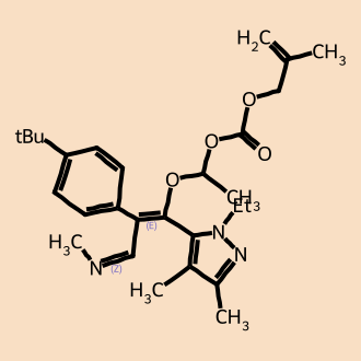 C=C(C)COC(=O)OC(C)O/C(=C(/C=N\C)c1ccc(C(C)(C)C)cc1)c1c(C)c(C)nn1CC